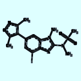 Cc1noc(C)c1-c1cc(I)c2nc(N(N)S(C)(=O)=O)n(N)c2c1